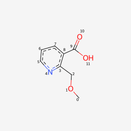 COCc1ncccc1C(=O)O